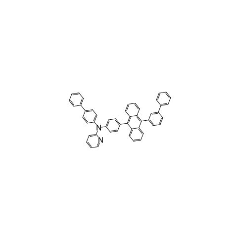 c1ccc(-c2ccc(N(c3ccc(-c4c5ccccc5c(-c5cccc(-c6ccccc6)c5)c5ccccc45)cc3)c3ccccn3)cc2)cc1